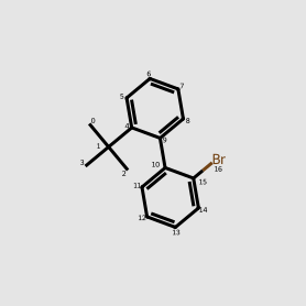 CC(C)(C)c1ccccc1-c1ccccc1Br